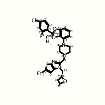 CCc1cc2c(nc(CN3CCN(c4cccc5c4O[C@@](C)(c4ccc(Cl)cc4F)O5)CC3)n2C[C@@H]2CCO2)s1